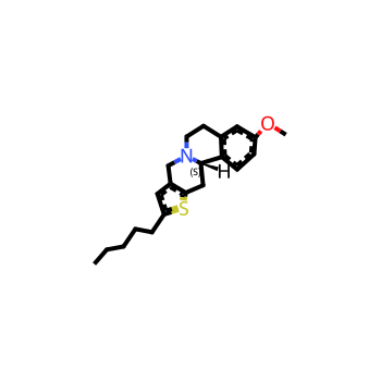 CCCCCc1cc2c(s1)C[C@H]1c3ccc(OC)cc3CCN1C2